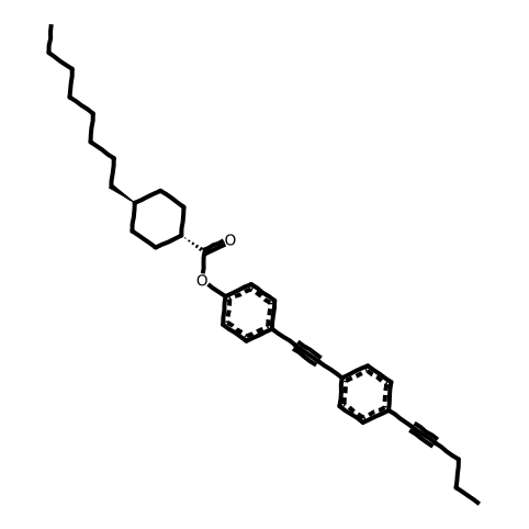 CCCC#Cc1ccc(C#Cc2ccc(OC(=O)[C@H]3CC[C@H](CCCCCCCC)CC3)cc2)cc1